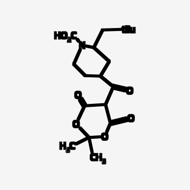 CC(C)(C)CC1CC(C(=O)C2C(=O)OC(C)(C)OC2=O)CCN1C(=O)O